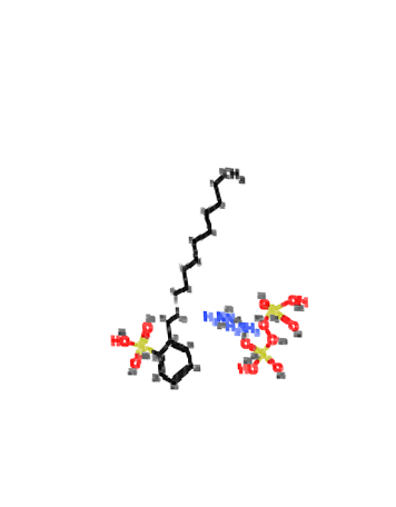 CCCCCCCCCCCCc1ccccc1S(=O)(=O)O.N.N.N.O=S(=O)(O)OOS(=O)(=O)O